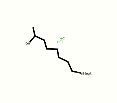 CCCCCCCCCCCCC[CH](C)[Sn].Cl.Cl